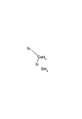 [Br][GeH2][Br].[SiH4]